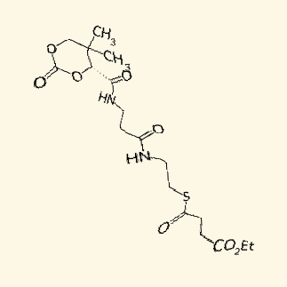 CCOC(=O)CCC(=O)SCCNC(=O)CCNC(=O)[C@@H]1OC(=O)OCC1(C)C